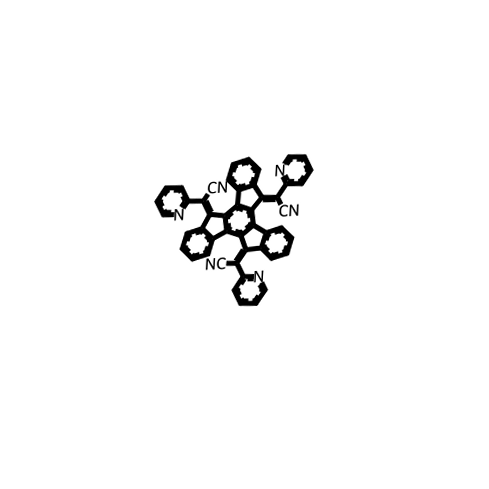 N#C/C(=C1/c2ccccc2-c2c1c1c(c3c2/C(=C(\C#N)c2ccccn2)c2ccccc2-3)/C(=C(\C#N)c2ccccn2)c2ccccc2-1)c1ccccn1